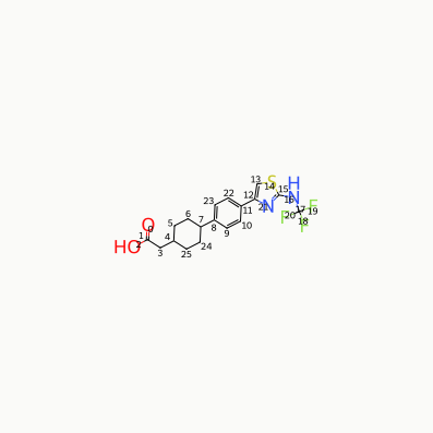 O=C(O)CC1CCC(c2ccc(-c3csc(NC(F)(F)F)n3)cc2)CC1